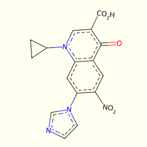 O=C(O)c1cn(C2CC2)c2cc(-n3ccnc3)c([N+](=O)[O-])cc2c1=O